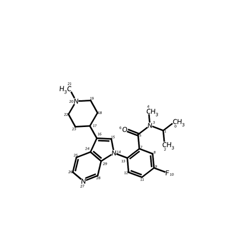 CC(C)N(C)C(=O)c1cc(F)ccc1-n1cc(C2CCN(C)CC2)c2ccncc21